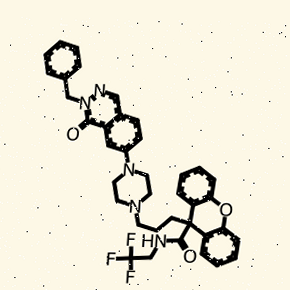 O=C(NCC(F)(F)F)C1(CCCN2CCN(c3ccc4cnn(Cc5ccccc5)c(=O)c4c3)CC2)c2ccccc2Oc2ccccc21